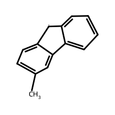 Cc1ccc2c(c1)-c1ccccc1[CH]2